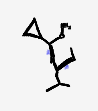 C/C=C(\N=C(/ON)C1CC1)C(C)C